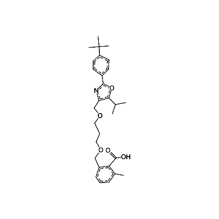 Cc1cccc(COCCCOCc2nc(-c3ccc(C(C)(C)C)cc3)oc2C(C)C)c1C(=O)O